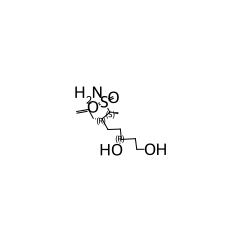 C=CC[C@@H](CC[C@@H](O)CCO)[C@H](C)S(N)(=O)=O